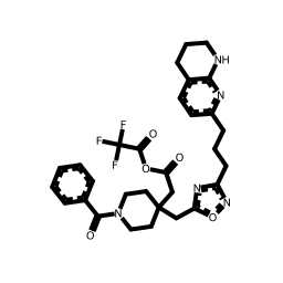 O=C(CC1(Cc2nc(CCCc3ccc4c(n3)NCCC4)no2)CCN(C(=O)c2ccccc2)CC1)OC(=O)C(F)(F)F